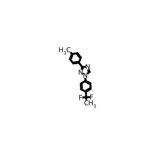 Cc1ccc(-c2ncn(-c3ccc(C(C)(F)F)cc3)n2)cc1